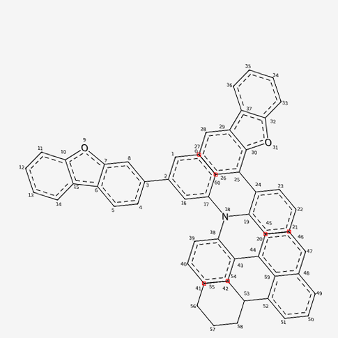 c1cc(-c2ccc3c(c2)oc2ccccc23)cc(N(c2ccccc2-c2cccc3c2oc2ccccc23)c2ccccc2-c2cccc3cccc(C4CCCCC4)c23)c1